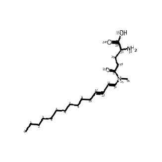 CCCCCCCCCCC/C=C/C=C/N(C)C(=O)CCC(N)C(=O)O